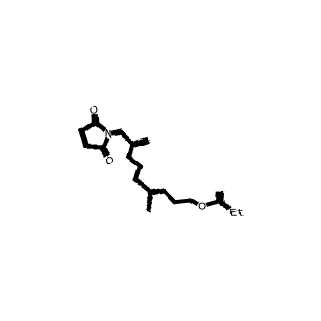 C=C(CCCC(C)CCCOC(=C)CC)CN1C(=O)CCC1=O